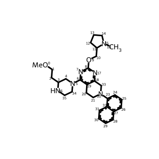 COCCC1CN(c2nc(OCC3CCCN3C)nc3c2CCN(c2cccc4ccccc24)C3)CCN1